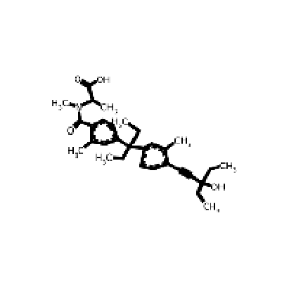 CCC(O)(C#Cc1ccc(C(CC)(CC)c2ccc(C(=O)N(C)C(C)C(=O)O)c(C)c2)cc1C)CC